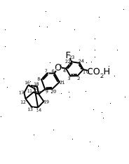 O=C(O)c1ccc(Oc2ccc(C34CC5CC(CC(C5)C3)C4)cc2)c(F)c1